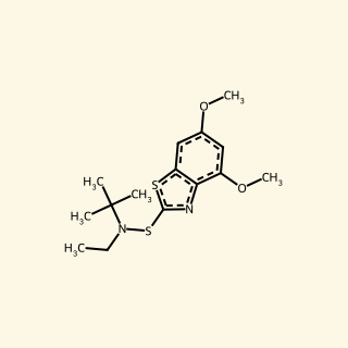 CCN(Sc1nc2c(OC)cc(OC)cc2s1)C(C)(C)C